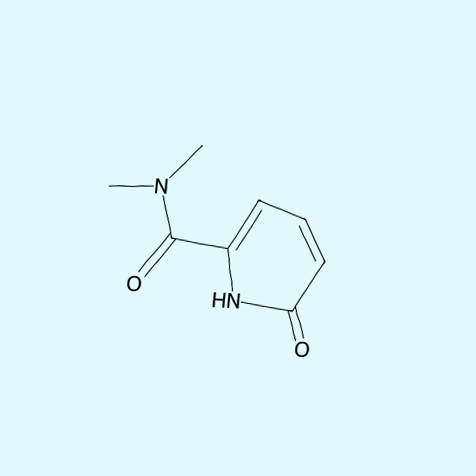 CN(C)C(=O)c1cccc(=O)[nH]1